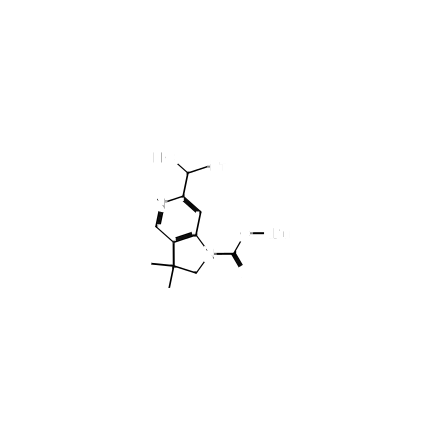 CC(C)C(O)c1cc2c(cn1)C(C)(C)CN2C(=O)OC(C)(C)C